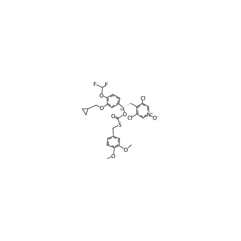 COc1ccc(CSC(=O)O[C@@H](Cc2c(Cl)c[n+]([O-])cc2Cl)c2ccc(OC(F)F)c(OCC3CC3)c2)cc1OC